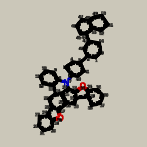 c1cc(-c2ccc(N(c3ccccc3-c3ccc4oc5ccccc5c4c3)c3cccc4c3oc3ccccc34)cc2)cc(-c2cccc3ccccc23)c1